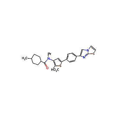 CC1CCC(C(=O)N(c2cc(-c3ccc(-c4cn5ccsc5n4)cc3)sc2C(=O)O)C(C)C)CC1